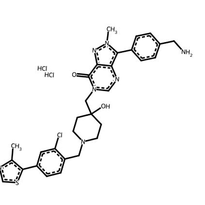 Cc1ncsc1-c1ccc(CN2CCC(O)(Cn3cnc4c(-c5ccc(CN)cc5)n(C)nc4c3=O)CC2)c(Cl)c1.Cl.Cl